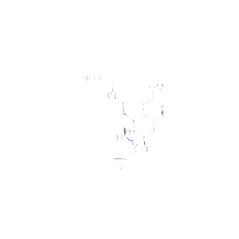 COc1ccc2c(c1)[C@@]1(CCNCC(=O)O)CCN(CC3CC3)[C@@H](C2)[C@H]1C